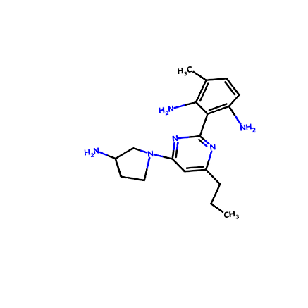 CCCc1cc(N2CCC(N)C2)nc(-c2c(N)ccc(C)c2N)n1